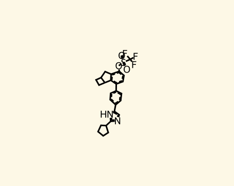 O=S(=O)(Oc1ccc(-c2ccc(-c3cnc(C4CCCC4)[nH]3)cc2)c2c1CC1CCC21)C(F)(F)F